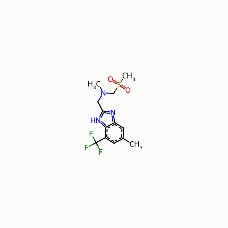 Cc1cc(C(F)(F)F)c2[nH]c(CN(C)CS(C)(=O)=O)nc2c1